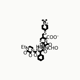 CCN1CCN(C(=O)N[C@@H](C(=O)N[C@]2(NC=O)C(=O)N3C(C(=O)[O-])=C(CSc4cc[n+](N(C)C)cc4)CS[C@@H]32)c2ccccc2)C(=O)C1=O